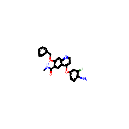 CNC(=O)c1cc2c(Oc3ccc(N)c(Cl)c3)ccnc2cc1OCc1ccccc1